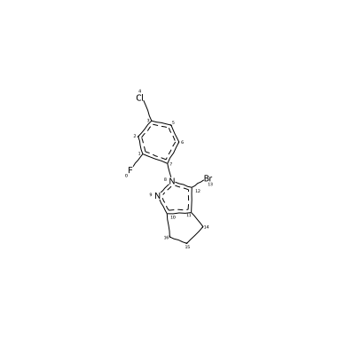 Fc1cc(Cl)ccc1-n1nc2c(c1Br)CCC2